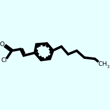 CCCCCCc1ccc(/C=C/C(=O)Cl)cc1